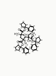 CCC(C)(CC(C)(CC(C)(C)C(=O)OC1(c2ccccc2)CCCC1)C(=O)OC1(c2ccccc2)CCCC1)C(=O)OC1(c2ccccc2)CCCC1